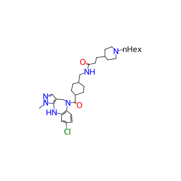 CCCCCCN1CCC(CCC(=O)NCC2CCC(C(=O)N3Cc4cnn(C)c4Nc4cc(Cl)ccc43)CC2)CC1